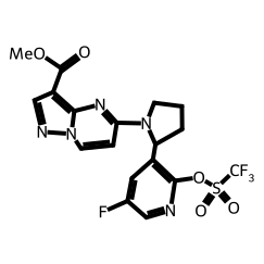 COC(=O)c1cnn2ccc(N3CCCC3c3cc(F)cnc3OS(=O)(=O)C(F)(F)F)nc12